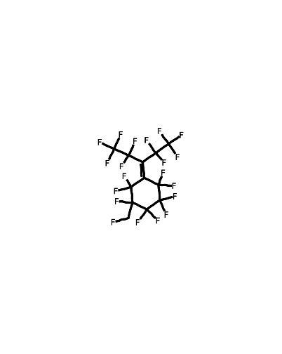 FCC1(F)C(F)(F)C(=C(C(F)(F)C(F)(F)F)C(F)(F)C(F)(F)F)C(F)(F)C(F)(F)C1(F)F